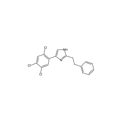 Clc1cc(Cl)c(-c2c[nH]c(CCc3ccccc3)n2)cc1Cl